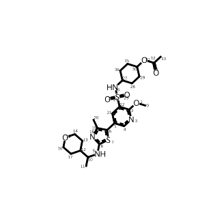 COc1ncc(-c2sc(NC(C)C3CCOCC3)nc2C)cc1S(=O)(=O)NC1CCC(OC(C)=O)CC1